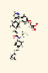 CCCCCc1ccc(N(CC)C(=O)/C=C/c2ccc(-c3scnc3-c3ccc(OCC(=O)O)cc3)cc2)cc1